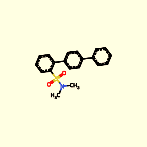 CN(C)S(=O)(=O)c1ccccc1-c1ccc(-c2ccccc2)cc1